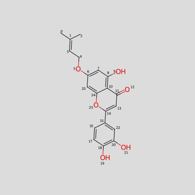 CC(C)=CCOc1cc(O)c2c(=O)cc(-c3ccc(O)c(O)c3)oc2c1